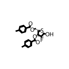 Cc1ccc(C(=O)OC[C@@H]2SC(O)[C@@H](F)[C@@H]2OC(=O)c2ccc(C)cc2)cc1